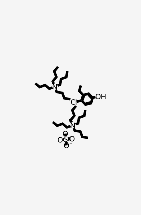 CCCC[N+](CCCC)(CCCC)CCCC.CCCC[N+](CCCC)(CCCC)CCCC.CCc1cc(O)ccc1Cl.O=S(=O)([O-])[O-]